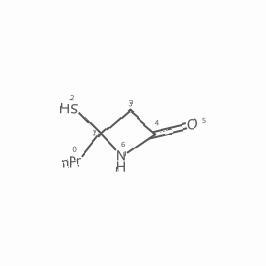 CCCC1(S)CC(=O)N1